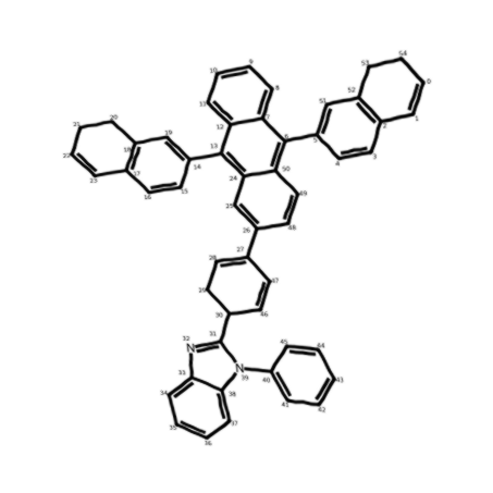 C1=Cc2ccc(-c3c4ccccc4c(-c4ccc5c(c4)CCC=C5)c4cc(C5=CCC(c6nc7ccccc7n6-c6ccccc6)C=C5)ccc34)cc2CC1